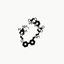 N[C@H]1[C@H]2CN(CCOc3cccc(-c4cccc(CNCC[C@H]5CN(c6ccc7c(n6)NC(=O)CO7)C(=O)O5)c4)c3)C[C@@H]12